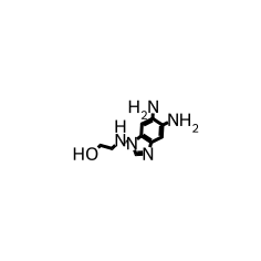 Nc1cc2ncn(NCCO)c2cc1N